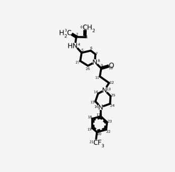 C=CC(=C)NC1CCN(C(=O)CCN2CCN(c3ccc(C(F)(F)F)cc3)CC2)CC1